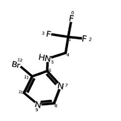 FC(F)(F)CNc1ncncc1Br